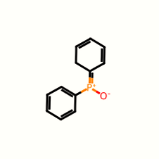 [O-]/[P+](=C1\C=CC=CC1)c1ccccc1